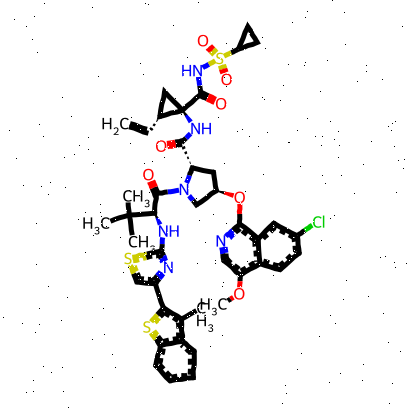 C=C[C@@H]1C[C@]1(NC(=O)[C@@H]1C[C@@H](Oc2ncc(OC)c3ccc(Cl)cc23)CN1C(=O)[C@@H](Nc1nc(-c2sc3ccccc3c2C)cs1)C(C)(C)C)C(=O)NS(=O)(=O)C1CC1